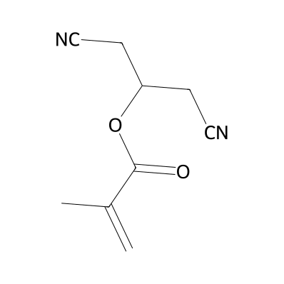 C=C(C)C(=O)OC(CC#N)CC#N